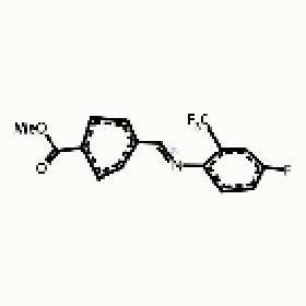 COC(=O)c1ccc(/C=N/c2ccc(F)cc2C(F)(F)F)cc1